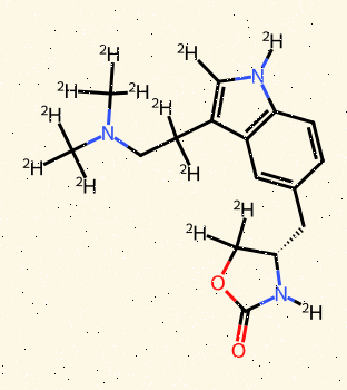 [2H]c1c(C([2H])([2H])CN(C([2H])([2H])[2H])C([2H])([2H])[2H])c2cc(C[C@@H]3N([2H])C(=O)OC3([2H])[2H])ccc2n1[2H]